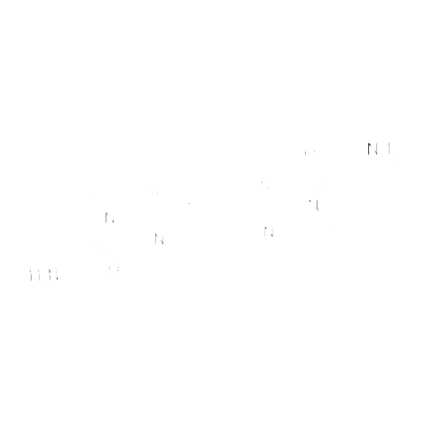 NCC(=O)N(c1nc2cc3nc(N(C(=O)CN)C4CCCCCC4)sc3cc2s1)C1CCCCCC1